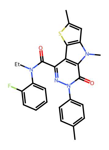 CCN(C(=O)c1nn(-c2ccc(C)cc2)c(=O)c2c1c1sc(C)cc1n2C)c1ccccc1F